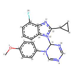 COc1ccc(N2C=NC=NC2n2c(C3CC3)nc3c(F)cccc32)cc1